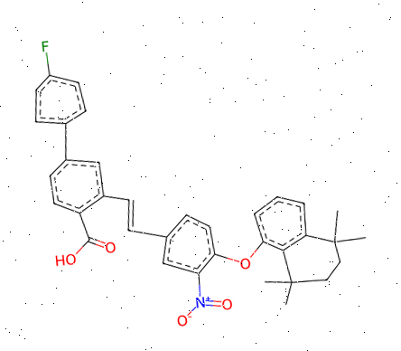 CC1(C)CCC(C)(C)c2c(Oc3ccc(C=Cc4cc(-c5ccc(F)cc5)ccc4C(=O)O)cc3[N+](=O)[O-])cccc21